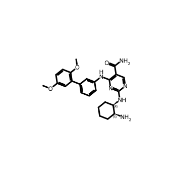 COc1ccc(OC)c(-c2cccc(Nc3nc(N[C@@H]4CCCC[C@@H]4N)ncc3C(N)=O)c2)c1